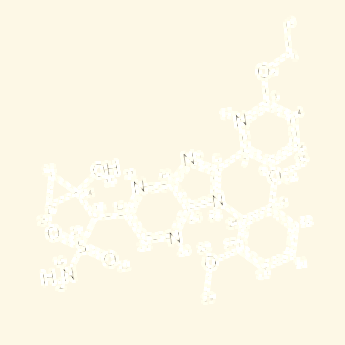 CCOc1cccc(-c2nc3nc(C(C4(O)CC4)S(N)(=O)=O)cnc3n2-c2c(OC)cccc2OC)n1